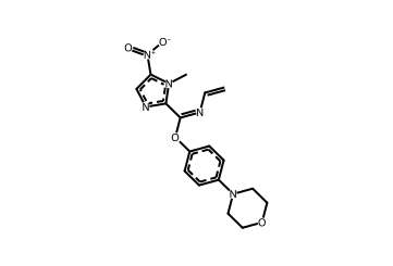 C=CN=C(Oc1ccc(N2CCOCC2)cc1)c1ncc([N+](=O)[O-])n1C